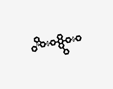 C[Si](C)(c1ccccc1)c1ccc(-c2c3ccccc3c(-c3ccc([Si](C)(C)c4ccc5c(c4)c4ccccc4n5-c4ccccc4)cc3)c3ccc(-c4ccccc4)cc23)cc1